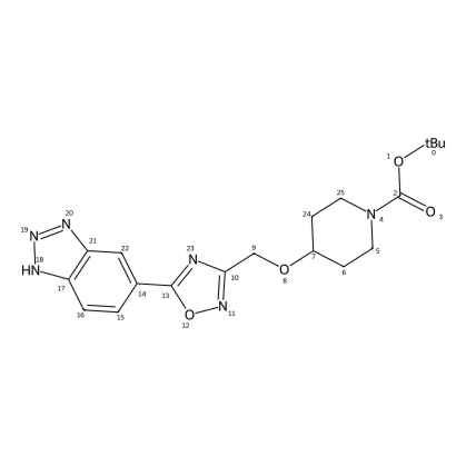 CC(C)(C)OC(=O)N1CCC(OCc2noc(-c3ccc4[nH]nnc4c3)n2)CC1